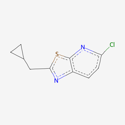 Clc1ccc2nc(CC3CC3)sc2n1